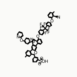 Cc1ccc(-c2ccc(-c3cccc(Oc4ccc(C(c5ccc(Oc6cccc(C)c6C#N)cc5)(C(F)(F)F)C(F)(F)F)cc4)c3C#N)c(C(=O)c3ccc(Oc4ccccn4)cc3)c2)c(C(=O)c2cccc(S(=O)(=O)O)c2)c1